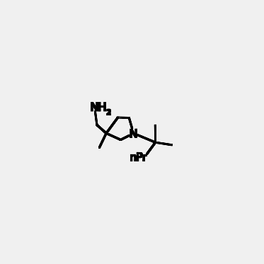 CCCC(C)(C)N1CCC(C)(CN)C1